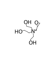 OCC[N+](CCO)(CCO)CC1CO1